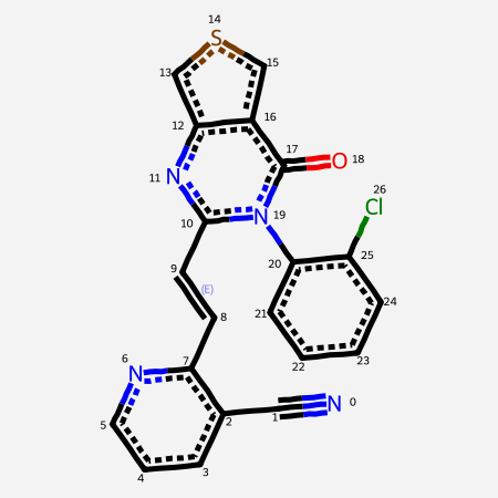 N#Cc1cccnc1/C=C/c1nc2cscc2c(=O)n1-c1ccccc1Cl